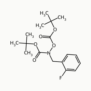 CC(C)(C)OC(=O)ON(Cc1ccccc1F)C(=O)OC(C)(C)C